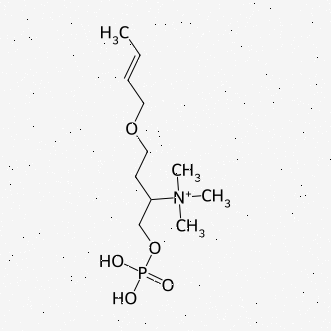 CC=CCOCCC(COP(=O)(O)O)[N+](C)(C)C